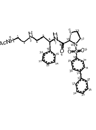 CC(=O)NCCNCCC(NC(=O)C1SCCN1S(=O)(=O)c1ccc(-c2ccccc2)cc1)c1ccccc1